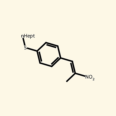 CCCCCCCSc1ccc(/C=C(\C)[N+](=O)[O-])cc1